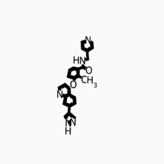 Cc1c(Oc2ccnc3cc(-c4cn[nH]c4)ccc23)cccc1C(=O)NCc1ccncc1